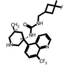 C[C@@H]1CNC[C@](NC(=O)NCC2CC(F)(F)C2)(c2ccc(C(F)(F)F)c3ncccc23)C1